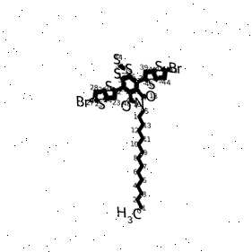 CCCCCCCCCCCCCCCCN1C(=O)c2c(c(-c3cc4sc(Br)cc4s3)c3sc(=S)sc3c2-c2cc3sc(Br)cc3s2)C1=O